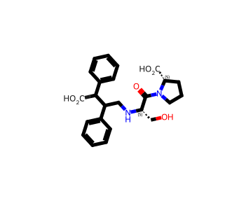 O=C(O)C(c1ccccc1)C(CN[C@@H](CO)C(=O)N1CCC[C@H]1C(=O)O)c1ccccc1